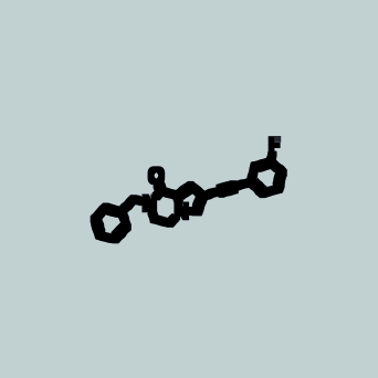 O=C1c2cc(C#Cc3cccc(F)c3)cn2CCN1Cc1ccccc1